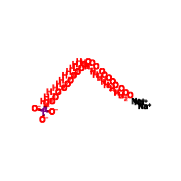 O.O.O.O.O.O.O.O.O.O.O.O.O.O.O.O.O.O.O.O.O.O=P([O-])([O-])[O-].[Na+].[Na+].[Na+]